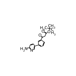 CC(C)(C)OC(=O)CC(=O)c1cccc(-c2ccc(N)nc2)c1